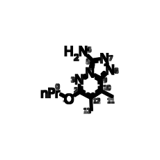 CCCOc1nn2c(N)nnc2c(C)c1C